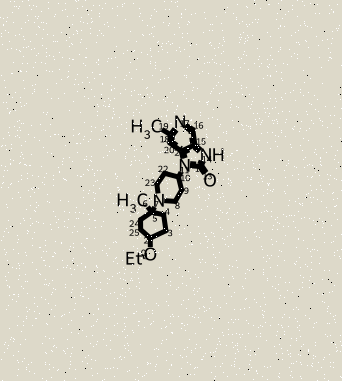 CCOC1CCC(C)(N2CCC(n3c(=O)[nH]c4cnc(C)cc43)CC2)CC1